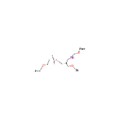 CCCC(C)OCCC(C)(C)OCC(COC(C)CC)CPCOC(C)CCC